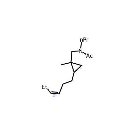 CC/C=C\CCC1CC1(C)CN(CCC)C(C)=O